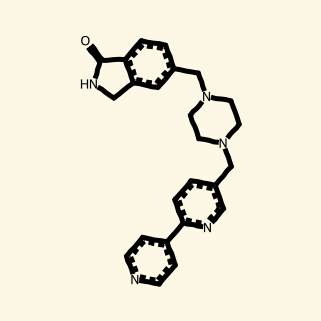 O=C1NCc2cc(CN3CCN(Cc4ccc(-c5ccncc5)nc4)CC3)ccc21